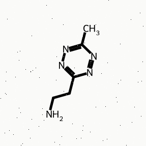 Cc1nnc(CCN)nn1